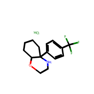 Cl.FC(F)(F)c1ccc(C23CCCCC2OCCN3)cc1